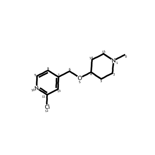 CN1CCC(OCc2ccnc(Cl)c2)CC1